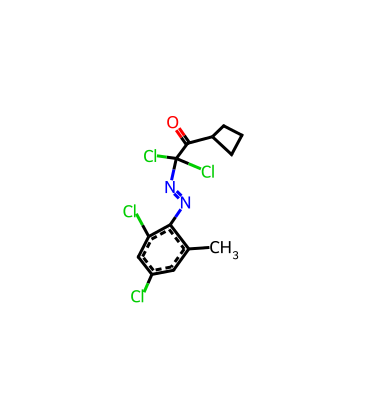 Cc1cc(Cl)cc(Cl)c1N=NC(Cl)(Cl)C(=O)C1CCC1